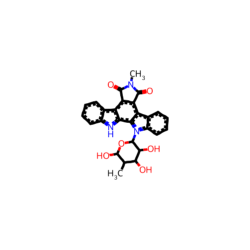 CC1C(O)OC(n2c3ccccc3c3c4c(c5c6ccccc6[nH]c5c32)C(=O)N(C)C4=O)C(O)C1O